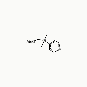 COC[Si](C)(C)c1ccccc1